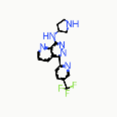 FC(F)(F)c1ccc(-c2nnc(N[C@H]3CCNC3)c3ncccc23)nc1